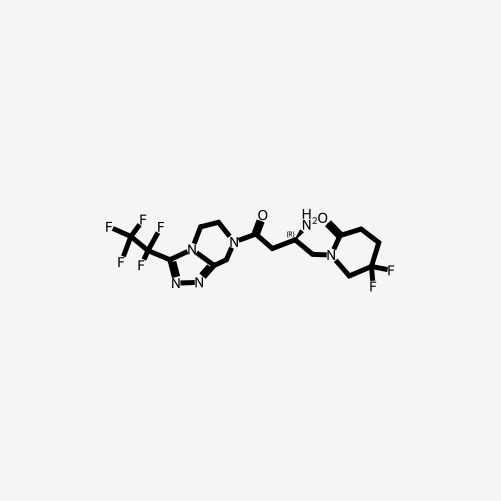 N[C@H](CC(=O)N1CCn2c(nnc2C(F)(F)C(F)(F)F)C1)CN1CC(F)(F)CCC1=O